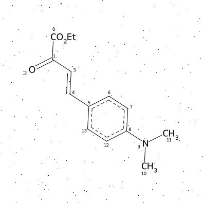 CCOC(=O)C(=O)C=Cc1ccc(N(C)C)cc1